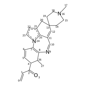 C=CC(=O)C1C=CC2=C(N=CC3=CC4(CCN(C)CC4)Cc4ccn2c43)C1C